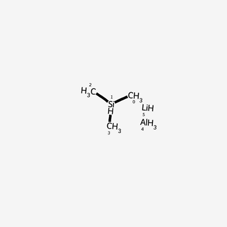 C[SiH](C)C.[AlH3].[LiH]